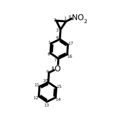 O=[N+]([O-])C1CC1c1ccc(OCc2ccccc2)cc1